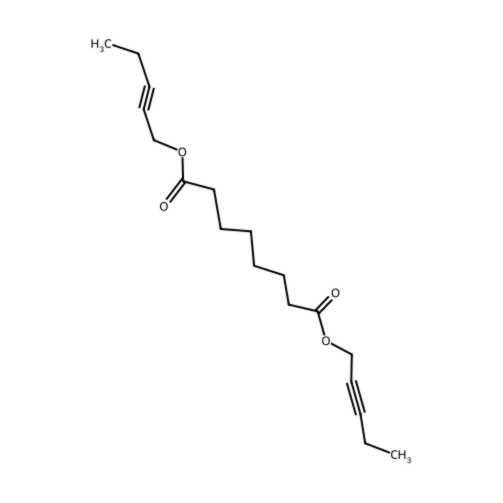 CCC#CCOC(=O)CCCCCCC(=O)OCC#CCC